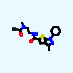 CCC(=O)N(C)CCNC(=O)c1cc2c(C)nn(C3CCCCC3)c2s1